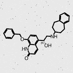 O=c1ccc2c([C@@H](O)CNC3CCc4ccccc4CC3)ccc(OCc3ccccc3)c2[nH]1